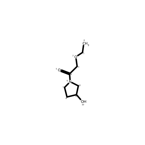 CCOCC(=O)N1CCC(O)C1